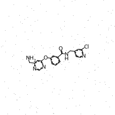 NCc1cc(Oc2cccc(C(=O)NCc3ccnc(Cl)c3)c2)ncn1